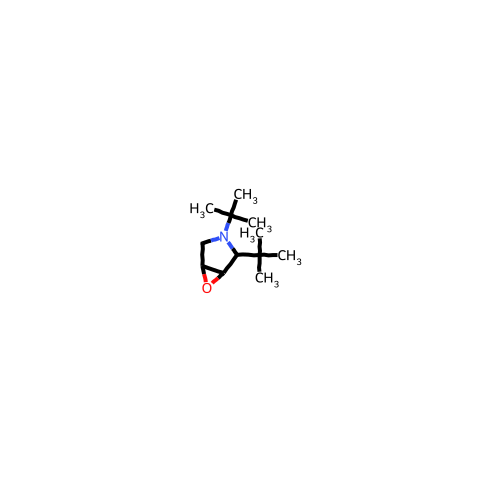 CC(C)(C)C1C2OC2CN1C(C)(C)C